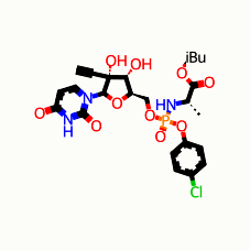 C#C[C@]1(O)C(n2ccc(=O)[nH]c2=O)O[C@H](COP(=O)(N[C@@H](C)C(=O)O[C@H](C)CC)Oc2ccc(Cl)cc2)[C@H]1O